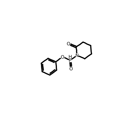 O=C1CCCCN1[PH](=O)Oc1ccccc1